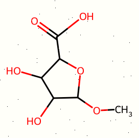 COC1OC(C(=O)O)C(O)C1O